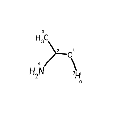 [2H]OC(C)N